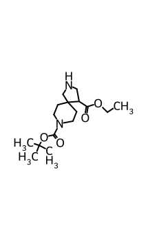 CCOC(=O)C1CNCC12CCN(C(=O)OC(C)(C)C)CC2